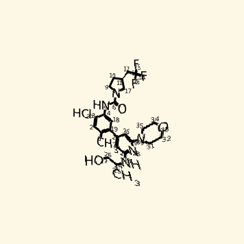 Cc1ccc(NC(=O)N2CC[C@@H](CC(F)(F)F)C2)cc1-c1cc(N[C@H](C)CO)nc(N2CCOCC2)c1.Cl